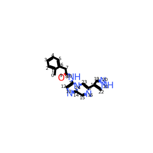 Cc1ccccc1CC(=O)Nc1cnc2cnc(-c3cn[nH]c3)cn12